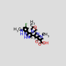 CNc1cc(F)cc2c1[nH]c1ncc(-c3cnc4c(c3)c(=O)c(C(=O)O)cn4C)c(N3CCO[C@@H](C)C3)c12